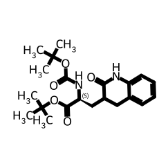 CC(C)(C)OC(=O)N[C@@H](CC1Cc2ccccc2NC1=O)C(=O)OC(C)(C)C